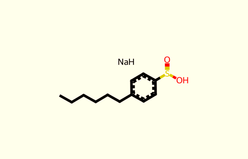 CCCCCCc1ccc(S(=O)O)cc1.[NaH]